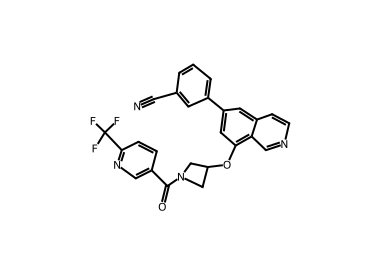 N#Cc1cccc(-c2cc(OC3CN(C(=O)c4ccc(C(F)(F)F)nc4)C3)c3cnccc3c2)c1